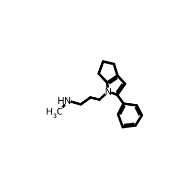 CNCCCn1c(-c2ccccc2)cc2c1CCC2